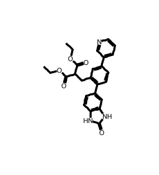 CCOC(=O)C(Cc1cc(-c2cccnc2)ccc1-c1ccc2[nH]c(=O)[nH]c2c1)C(=O)OCC